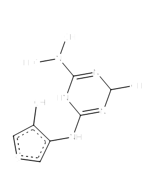 Cc1cscc1NC1=NC(C)N=C(N(C)C)N1